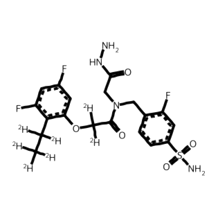 [2H]C([2H])(Oc1cc(F)cc(F)c1C([2H])([2H])C([2H])([2H])[2H])C(=O)N(CC(=O)NN)Cc1ccc(S(N)(=O)=O)cc1F